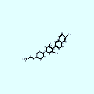 CCC[C@H]1CC[C@H](c2cc(F)c(-c3ccc4cc(F)ccc4c3)c(F)c2)CC1